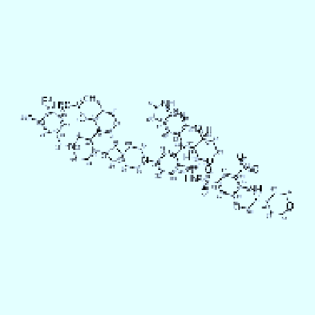 CC(C)Oc1ccccc1[C@@H]1CN(Cc2ccc(F)c(F)c2)CCN1C1CC2(CCN(c3ccc(C(=O)NS(=O)(=O)c4cc5c(c([N+](=O)[O-])c4)N[C@H](C4CCOCC4)CO5)c(N4c5cc6cc[nH]c6nc5O[C@@H]5CCOC[C@H]54)c3)CC2)C1